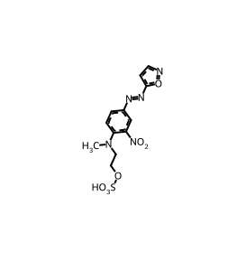 CN(CCOS(=O)(=O)O)c1ccc(N=Nc2ccno2)cc1[N+](=O)[O-]